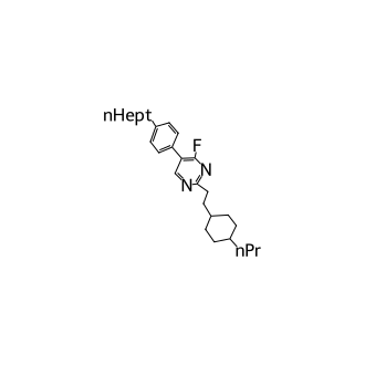 CCCCCCCc1ccc(-c2cnc(CCC3CCC(CCC)CC3)nc2F)cc1